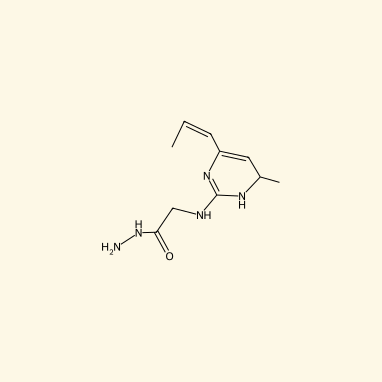 C/C=C\C1=CC(C)NC(NCC(=O)NN)=N1